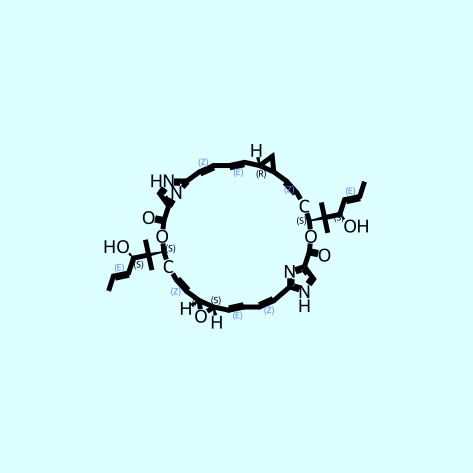 C/C=C/[C@H](O)C(C)(C)[C@@H]1C/C=C\[C@H]2O[C@H]2/C=C/C=C\c2nc(c[nH]2)C(=O)O[C@H](C(C)(C)[C@@H](O)/C=C/C)C/C=C\C2C[C@H]2/C=C/C=C\c2nc(c[nH]2)C(=O)O1